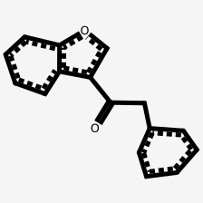 O=C(Cc1ccccc1)c1coc2ccccc12